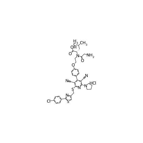 CC(C)C[C@@H](C(=O)O)N(CCOc1ccc(-c2c(C#N)c(SCc3csc(-c4ccc(Cl)cc4)n3)nc(N3CCCC3)c2C#N)cc1)C(=O)CN.Cl